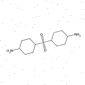 NC1CCC(S(=O)(=O)C2CCC(N)CC2)CC1